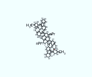 CCCc1cc(N(c2ccc3c4ccccc4n(-c4ccc(C)cc4)c3c2)c2cccc3c2CCCC3)c2ccc3c(CCC)cc(N(c4ccc5c6ccccc6n(-c6ccc(C)cc6)c5c4)c4cccc5c4CCCC5)c4ccc1c2c34